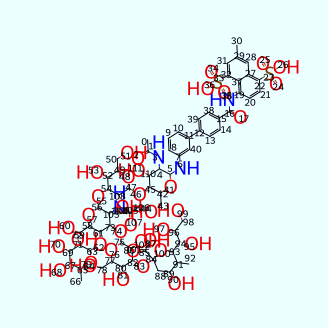 CC(=O)NC1C(Nc2cccc(-c3ccc(C(=O)Nc4ccc(S(=O)(=O)O)c5cc(C)cc(S(=O)(=O)O)c45)cc3)c2)OC(CO)C(OC2OC(CO)C(O)C(OC3OC(CO)C(OC4OC(C)C(O)C(O)C4O)C(OC4OC(CO)C(O)C(OC5(C(=O)O)CC(O)C(C)C([C@@H](O)[C@@H](O)CO)O5)C4O)C3NC(C)=O)C2O)C1O